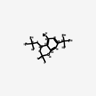 CC1(C)CN(CC(F)(F)F)c2c(Br)cc(C(F)(F)F)cc2O1